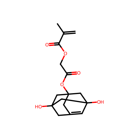 C=C(C)C(=O)OCC(=O)OC12CC3=CC(O)(CC(O)(C3)C1)C2